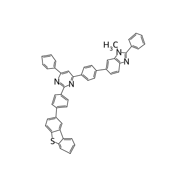 Cn1c(-c2ccccc2)nc2ccc(-c3ccc(-c4cc(-c5ccccc5)nc(-c5ccc(-c6ccc7sc8ccccc8c7c6)cc5)n4)cc3)cc21